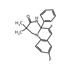 CC1(C)CN2c3ccc(F)cc3C=C(F)C2(c2ccccc2)NC1=O